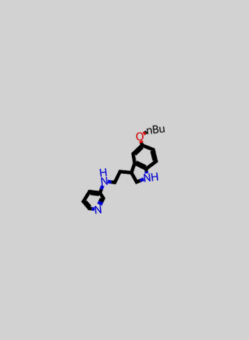 CCCCOc1ccc2c(c1)C(CCNc1cccnc1)CN2